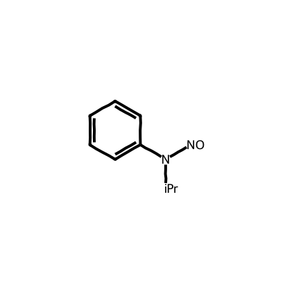 CC(C)N(N=O)c1ccccc1